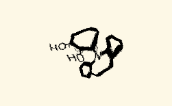 O[C@@H]1[C@H](O)CCC[C@H]1N1c2ccccc2CCc2ccccc21